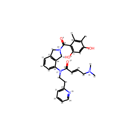 Cc1c(O)cc(O)c(C(=O)N2Cc3cccc(N(CCc4ccccn4)C(=O)/C=C/CN(C)C)c3C2)c1C